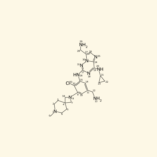 CN1CCC2(CC1)CN(c1cc(CN)cc(Nc3nc(NC4CC4)c4ncc(CN)n4n3)c1Cl)C2